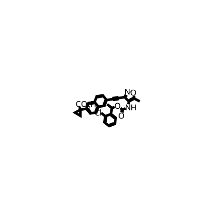 Cc1onc(C#Cc2ccc3cc(C4(C(=O)O)CC4)ccc3c2)c1NC(=O)OC(C)c1ccccc1Cl